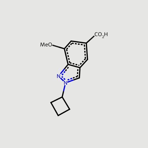 COc1cc(C(=O)O)cc2cn(C3CCC3)nc12